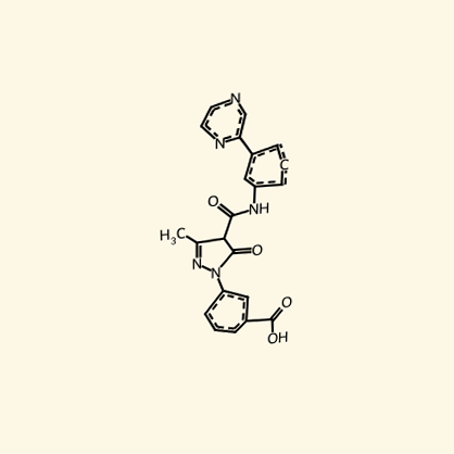 CC1=NN(c2cccc(C(=O)O)c2)C(=O)C1C(=O)Nc1cccc(-c2cnccn2)c1